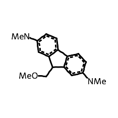 CNc1ccc2c(c1)C(COC)c1cc(NC)ccc1-2